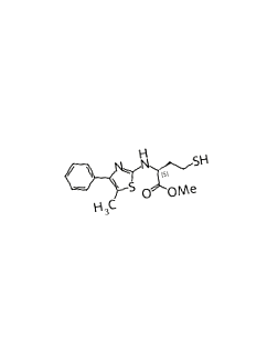 COC(=O)[C@H](CCS)Nc1nc(-c2ccccc2)c(C)s1